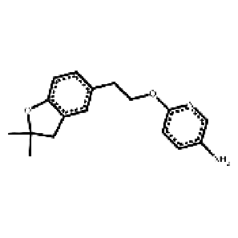 CC1(C)Cc2cc(CCOc3ccc(N)cn3)ccc2O1